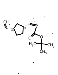 C=C[C@H]1CC[C@@H](/C=N\C(=O)OC(C)(C)C)C1